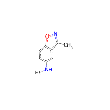 CCNc1ccc2onc(C)c2c1